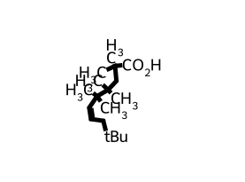 CC(C)(C)C/C=C\C(C)(C)C(C)(C)CC(C)(C)C(=O)O